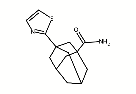 NC(=O)C12CC3CC(C1)CC(c1nccs1)(C3)C2